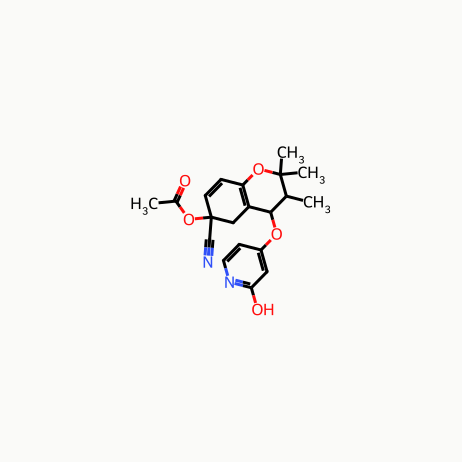 CC(=O)OC1(C#N)C=CC2=C(C1)C(Oc1ccnc(O)c1)C(C)C(C)(C)O2